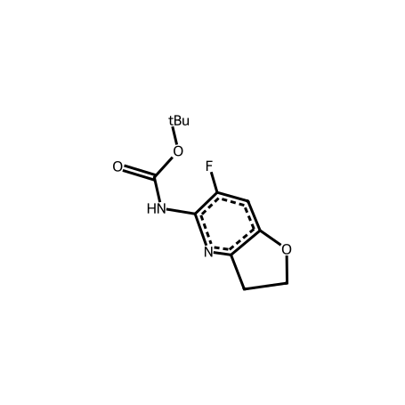 CC(C)(C)OC(=O)Nc1nc2c(cc1F)OCC2